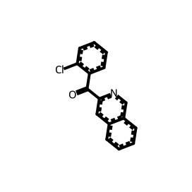 O=C(c1cc2ccccc2cn1)c1ccccc1Cl